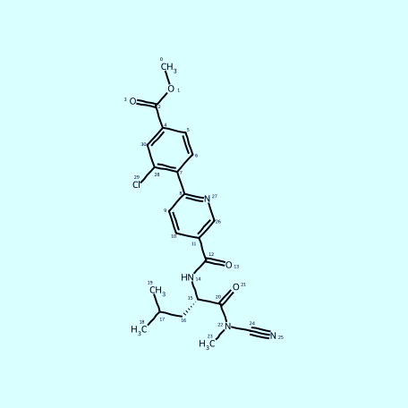 COC(=O)c1ccc(-c2ccc(C(=O)N[C@@H](CC(C)C)C(=O)N(C)C#N)cn2)c(Cl)c1